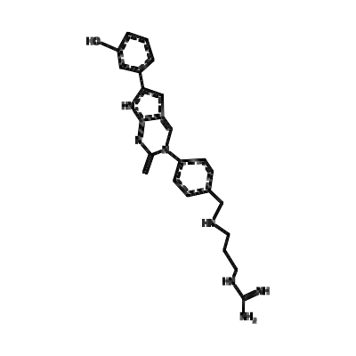 C=C1N=c2[nH]c(-c3cccc(O)c3)cc2=CN1c1ccc(CNCCCNC(=N)N)cc1